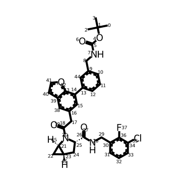 CC(C)(C)OC(=O)NCc1cccc(-c2cc(CC(=O)N3[C@@H]4C[C@H]4C[C@H]3C(=O)NCc3cccc(Cl)c3F)cc3ccoc23)c1